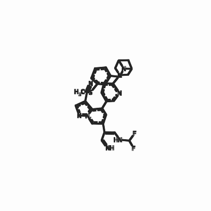 CSc1cccc(CN2C3CC2CN(c2ccc(-c4cc(/C(C=N)=C/NC(F)F)cn5ncc(C#N)c45)cn2)C3)c1